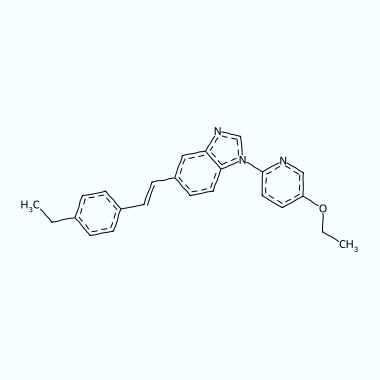 CCOc1ccc(-n2cnc3cc(/C=C/c4ccc(CC)cc4)ccc32)nc1